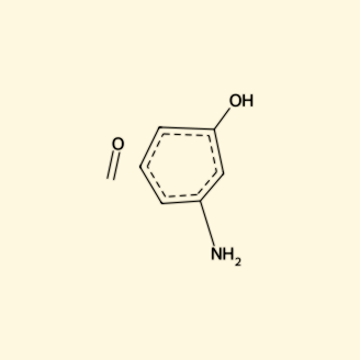 C=O.Nc1cccc(O)c1